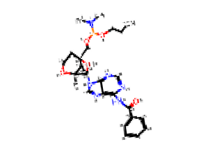 CC(C)N(C(C)C)P(OCCC#N)OC[C@@]12CCO[C@@H]([C@H](n3cnc4c(NC(=O)c5ccccc5)ncnc43)O1)[C@@H]2C